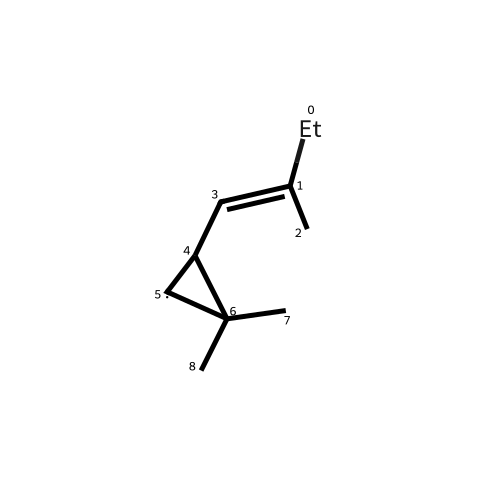 CCC(C)=CC1[CH]C1(C)C